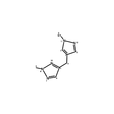 CCn1cc(Cc2cnn(C)n2)cn1